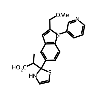 COCc1cc2cc(C3(C(C)C(=O)O)NC=CS3)ccc2n1-c1cccnc1